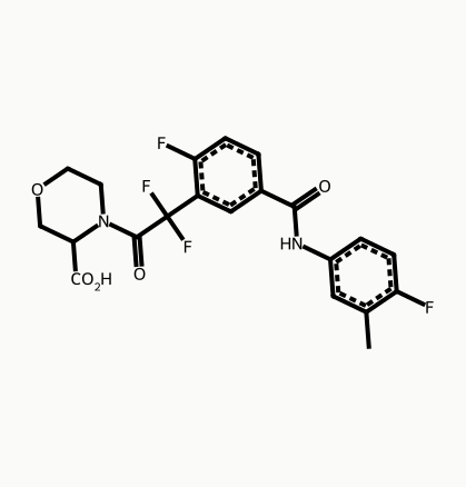 Cc1cc(NC(=O)c2ccc(F)c(C(F)(F)C(=O)N3CCOCC3C(=O)O)c2)ccc1F